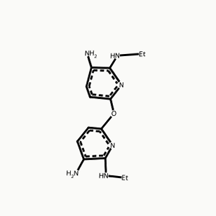 CCNc1nc(Oc2ccc(N)c(NCC)n2)ccc1N